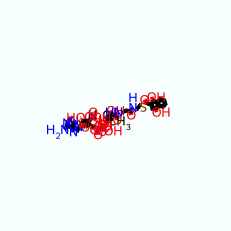 CC(C)(COP(=O)(O)OP(=O)(O)OC[C@H]1O[C@@H](n2cnc3c(N)ncnc32)[C@H](O)[C@@H]1OP(=O)(O)O)[C@@H](O)C(=O)NCCC(=O)NCCSC(=O)c1cc(O)c2ccccc2c1O